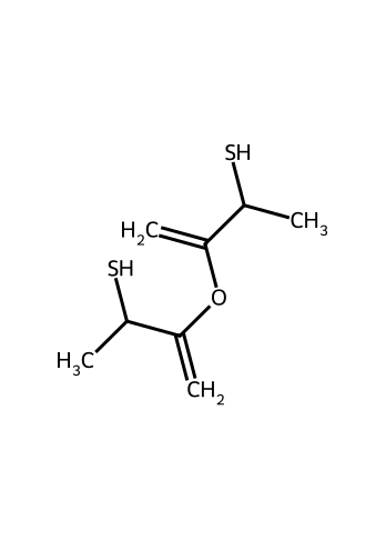 C=C(OC(=C)C(C)S)C(C)S